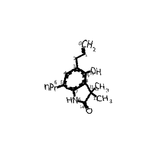 C=CCc1cc(CCC)c2c(c1O)C(C)(C)C(=O)N2